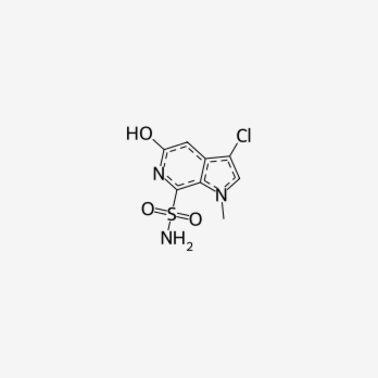 Cn1cc(Cl)c2cc(O)nc(S(N)(=O)=O)c21